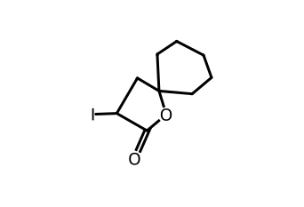 O=C1OC2(CCCCC2)CC1I